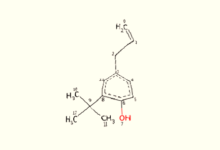 C=CCc1ccc(O)c(C(C)(C)C)c1